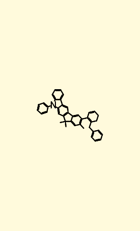 Cc1cc2c(cc1C1=C(Cc3ccccc3)CCC=C1)-c1cc3c4ccccc4n(-c4ccccc4)c3cc1C2(C)C